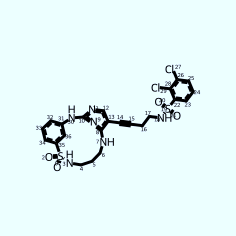 O=S1(=O)NCCCNc2nc(ncc2C#CCCNS(=O)(=O)c2cccc(Cl)c2Cl)Nc2cccc1c2